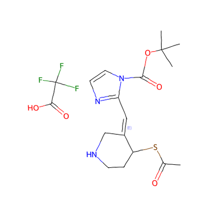 CC(=O)SC1CCNC/C1=C\c1nccn1C(=O)OC(C)(C)C.O=C(O)C(F)(F)F